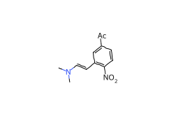 CC(=O)c1ccc([N+](=O)[O-])c(/C=C/N(C)C)c1